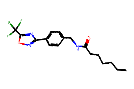 CCCCCCC(=O)NCc1ccc(-c2noc(C(F)(F)F)n2)cc1